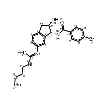 C/C(=N\c1ccc2c(c1)[C@@H](NC(=O)c1ccc(Br)cc1)[C@H](O)C2)NCCOC(C)(C)C